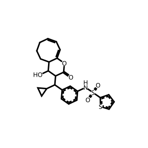 O=C1OC2=CC=CCCCC2C(O)C1C(c1cccc(NS(=O)(=O)c2cccs2)c1)C1CC1